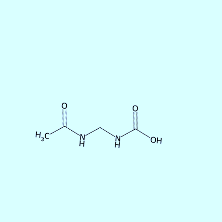 CC(=O)NCNC(=O)O